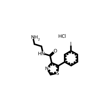 Cl.NCCNC(=O)c1ncsc1-c1cccc(I)c1